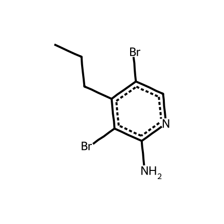 CCCc1c(Br)cnc(N)c1Br